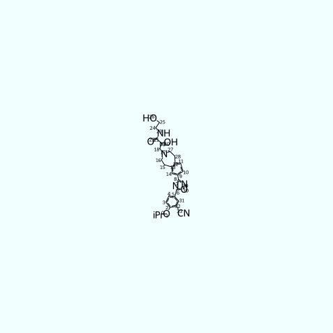 CC(C)Oc1ccc(-c2nc(-c3ccc4c(c3)CCN(C[C@@H](O)C(=O)NCCO)CC4)no2)cc1C#N